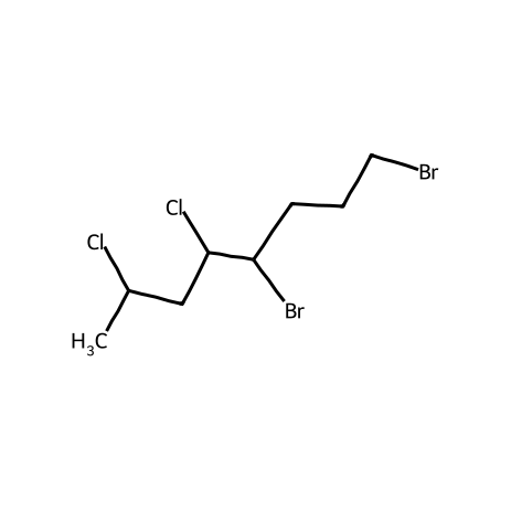 CC(Cl)CC(Cl)C(Br)CCCBr